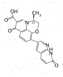 C[C@H]1COc2c(-c3cnc4[nH]c(=O)ccc4c3)ccc3c(=O)c(C(=O)O)cn1c23